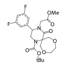 COC(=O)CN1C(=O)C2(COCCOC2)N(C(=O)OC(C)(C)C)CC1c1cc(F)cc(F)c1